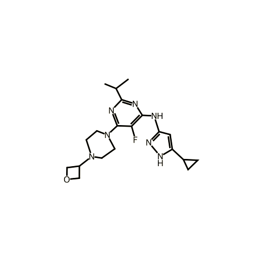 CC(C)c1nc(Nc2cc(C3CC3)[nH]n2)c(F)c(N2CCN(C3COC3)CC2)n1